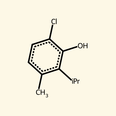 Cc1ccc(Cl)c(O)c1C(C)C